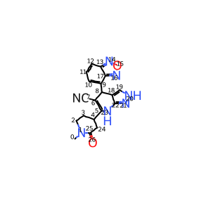 CN1CCC(C2=C(C#N)C(c3cccc4nonc34)c3c[nH]nc3N2)CC1=O